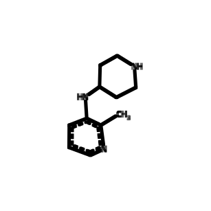 Cc1ncccc1NC1CCNCC1